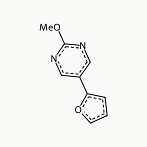 COc1ncc(-c2ccco2)cn1